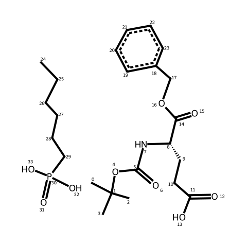 CC(C)(C)OC(=O)N[C@@H](CCC(=O)O)C(=O)OCc1ccccc1.CCCCCCP(=O)(O)O